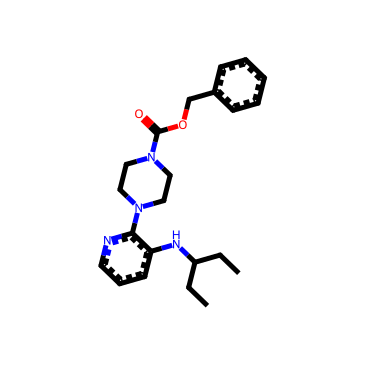 CCC(CC)Nc1cccnc1N1CCN(C(=O)OCc2ccccc2)CC1